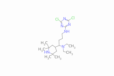 CCN(CC)C(CCCNc1nc(Cl)nc(Cl)n1)C1CC(C)(C)NC(C)(C)C1